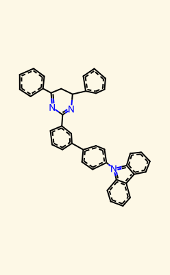 c1ccc(C2=NC(c3cccc(-c4ccc(-n5c6ccccc6c6ccccc65)cc4)c3)=NC(c3ccccc3)C2)cc1